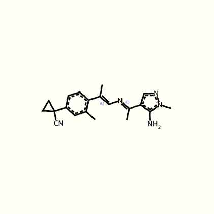 C/C(=C\N=C(/C)c1cnn(C)c1N)c1ccc(C2(C#N)CC2)cc1C